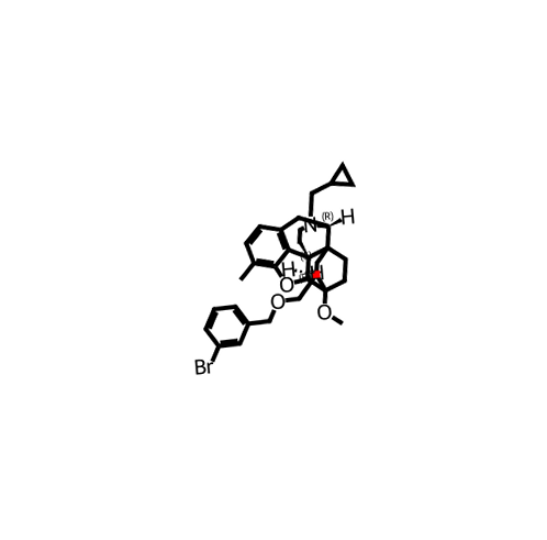 COC12CCC3(C[C@@H]1COCc1cccc(Br)c1)[C@H]1Cc4ccc(C)c5c4[C@@]3(CCN1CC1CC1)[C@H]2O5